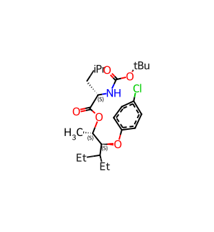 CCC(CC)[C@H](Oc1ccc(Cl)cc1)[C@H](C)OC(=O)[C@H](CC(C)C)NC(=O)OC(C)(C)C